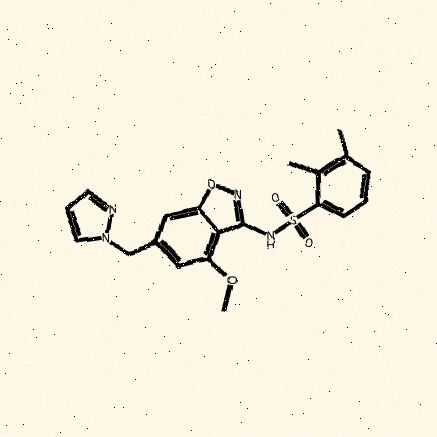 COc1cc(Cn2cccn2)cc2onc(NS(=O)(=O)c3cccc(C)c3C)c12